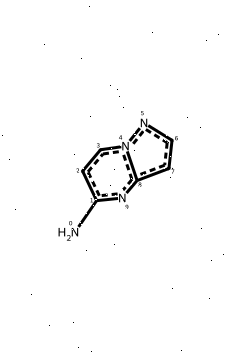 Nc1ccn2nc[c]c2n1